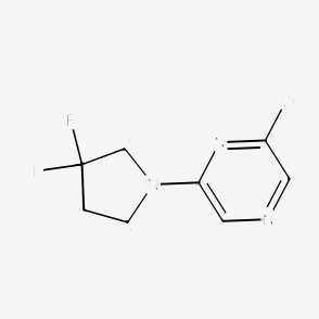 FC1(F)CCN(c2cncc(Br)n2)C1